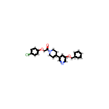 O=C(COc1ccc(Cl)cc1)N1CC=C(c2cncc(OCc3ccccc3)c2)CC1